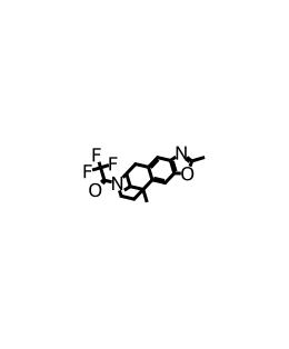 Cc1nc2cc3c(cc2o1)C1(C)CCN(C(=O)C(F)(F)F)C(C3)C1C